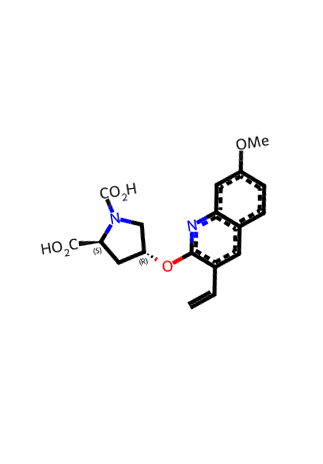 C=Cc1cc2ccc(OC)cc2nc1O[C@@H]1C[C@@H](C(=O)O)N(C(=O)O)C1